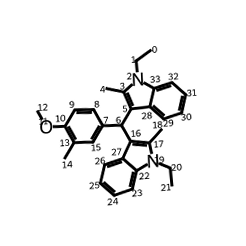 CCn1c(C)c(C(c2ccc(OC)c(C)c2)c2c(C)n(CC)c3ccccc23)c2ccccc21